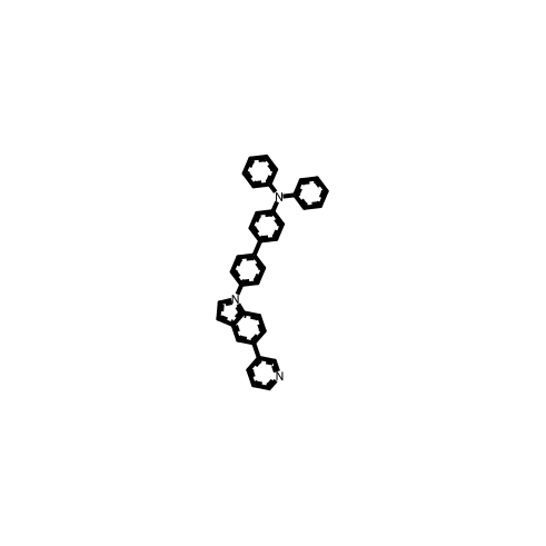 c1ccc(N(c2ccccc2)c2ccc(-c3ccc(-n4ccc5cc(-c6cccnc6)ccc54)cc3)cc2)cc1